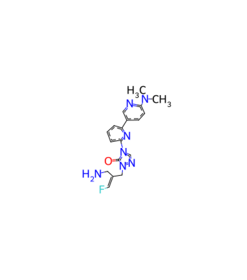 CN(C)c1ccc(-c2cccc(-n3cnn(C/C(=C/F)CN)c3=O)n2)cn1